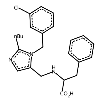 CCCCc1ncc(CNC(Cc2ccccc2)C(=O)O)n1Cc1cccc(Cl)c1